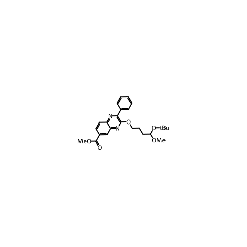 COC(=O)c1ccc2nc(-c3ccccc3)c(OCCCC(OC)OC(C)(C)C)nc2c1